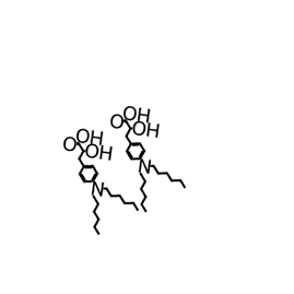 CCCCCCN(CCCCCC)c1ccc(CC(O)C(=O)O)cc1.CCCCCCN(CCCCCC)c1ccc(CC(O)C(=O)O)cc1